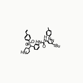 C=Cc1ccc(S(=O)(=O)C(c2cccc(NC(=O)Nc3cc(C(C)(C)C)nn3-c3ccc(C)cc3)c2)C2CCNCC2)cc1